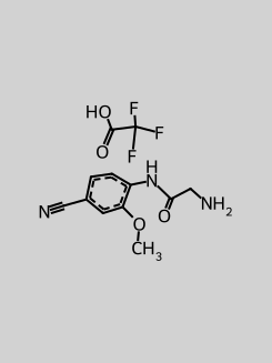 COc1cc(C#N)ccc1NC(=O)CN.O=C(O)C(F)(F)F